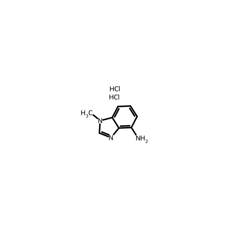 Cl.Cl.Cn1cnc2c(N)cccc21